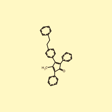 CC1=C(c2ccccc2)C(=O)C(c2ccccc2)=C1c1ccc(CCc2ccccc2)cc1